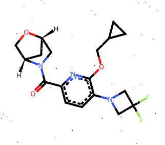 O=C(c1ccc(N2CC(F)(F)C2)c(OCC2CC2)n1)N1C[C@@H]2C[C@H]1CO2